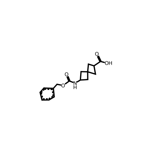 O=C(NC1CC2(C1)CC(C(=O)O)C2)OCc1ccccc1